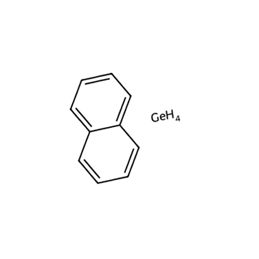 [GeH4].c1ccc2ccccc2c1